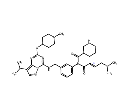 CC(C)c1cnn2c(NCc3cccc(N(C(=O)/C=C/CN(C)C)C(=O)C4CCCNC4)c3)nc(OC3CCN(C)CC3)nc12